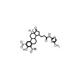 Cc1cnc(NC(=O)CCC2CC(=O)C3(C)CCC4c5cc([N+](=O)[O-])c(O)c([N+](=O)[O-])c5CCC4C23)s1